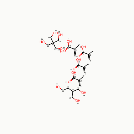 C=C(C)C(=O)O.C=C(C)C(=O)O.C=C(C)C(=O)O.C=C(C)C(=O)O.OCC(CO)(CO)CO.OCCC(CO)CO